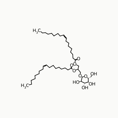 CCCCCCCC/C=C\CCCCCCCC(=O)OCC(CO[C@@H]1O[C@H](CO)[C@H](O)[C@H](O)[C@H]1O)OC(=O)CCCCCCC/C=C\CCCCCCCC